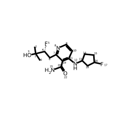 CC(C)(O)[C@H](F)Cc1nccc(NC2CCC(F)C2)c1C(N)=O